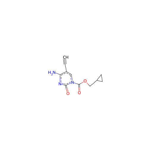 C#Cc1cn(C(=O)OCC2CC2)c(=O)nc1N